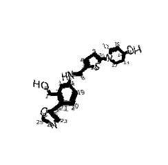 OCc1cc(NCc2ccc(N3CCC(O)CC3)s2)ccc1-c1cnco1